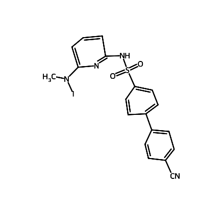 CN(I)c1cccc(NS(=O)(=O)c2ccc(-c3ccc(C#N)cc3)cc2)n1